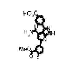 COC(=O)c1cc(-c2cc(C(N)=O)c3c(-c4ccc(C(=O)O)cc4)n[nH]c3n2)ccc1F